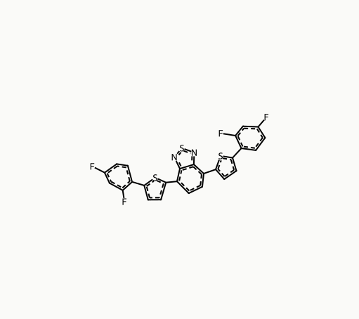 Fc1ccc(-c2ccc(-c3ccc(-c4ccc(-c5ccc(F)cc5F)s4)c4nsnc34)s2)c(F)c1